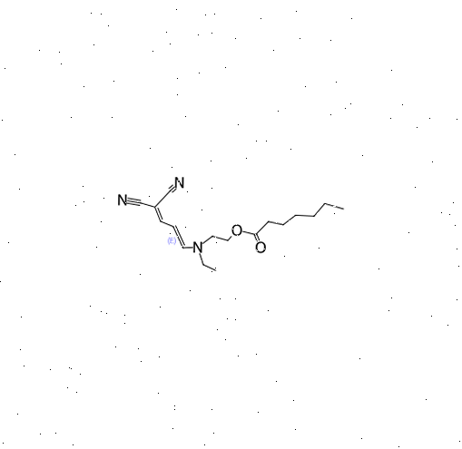 CCCCCCC(=O)OCCN(/C=C/C=C(C#N)C#N)CC